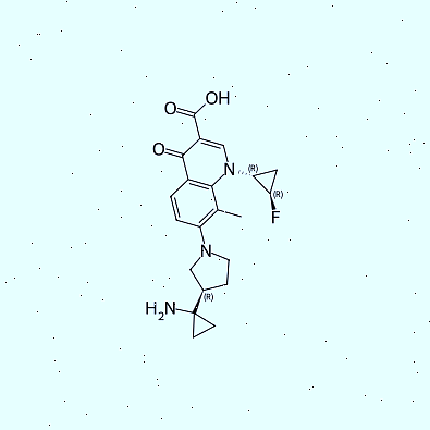 Cc1c(N2CC[C@@H](C3(N)CC3)C2)ccc2c(=O)c(C(=O)O)cn([C@@H]3C[C@H]3F)c12